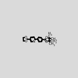 CC1(C)OB(c2ccc(-c3ccc(C4OCCO4)cn3)cc2)OC1(C)C